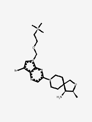 C[C@@H]1OCC2(CCN(c3cnc4c(Br)cn(COCC[Si](C)(C)C)c4n3)CC2)[C@@H]1N